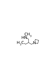 CCC(CNC)CN1CCC1